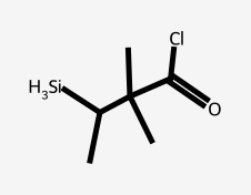 CC([SiH3])C(C)(C)C(=O)Cl